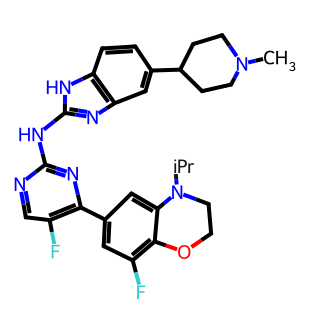 CC(C)N1CCOc2c(F)cc(-c3nc(Nc4nc5cc(C6CCN(C)CC6)ccc5[nH]4)ncc3F)cc21